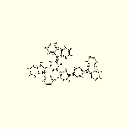 c1ccc(-n2c(-c3cc(-c4cccc(-c5ccc(-n6c7ccccc7c7ccccc76)cc5)n4)cc(-n4c5ccccc5c5ccccc54)c3)nc3ccccc32)cc1